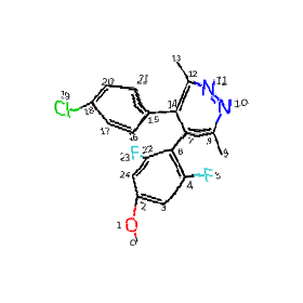 COc1cc(F)c(-c2c(C)nnc(C)c2-c2ccc(Cl)cc2)c(F)c1